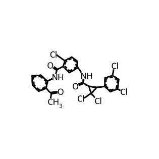 CC(=O)c1ccccc1NC(=O)c1cc(NC(=O)C2C(c3cc(Cl)cc(Cl)c3)C2(Cl)Cl)ccc1Cl